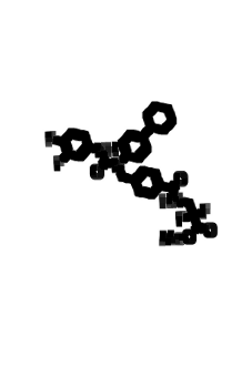 COC(=O)C(F)(F)CNC(=O)c1ccc(CN(C(=O)Nc2ccc(F)c(F)c2)c2ccc(C3CCCCC3)cc2)cc1